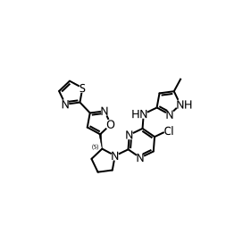 Cc1cc(Nc2nc(N3CCC[C@H]3c3cc(-c4nccs4)no3)ncc2Cl)n[nH]1